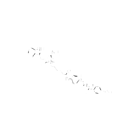 CC(C)(C)c1ccc(C(=O)NC(=S)Nc2ccc(NC(=O)CCCCCNC(=O)C(Cc3c[nH]c4ccccc34)OC(N)=O)cc2)cc1